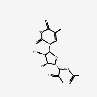 CC(=O)OC(C(C)=O)[C@H]1O[C@@H](n2cc(C)c(=O)[nH]c2=O)[C@H](O)[C@@H]1O